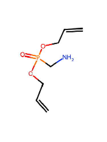 C=CCOP(=O)(CN)OCC=C